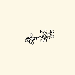 CCN(CC)C(C)S(=O)(=O)C(F)(F)C(F)(F)CCCOC(=O)C1C2CC3C(=O)OC1C3O2